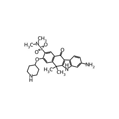 CN(C)S(=O)(=O)c1cc2c(cc1OC1CCNCC1)C(C)(C)c1[nH]c3cc(N)ccc3c1C2=O